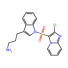 NCCCc1cn(S(=O)(=O)c2c(Cl)nc3ccccn23)c2ccccc12